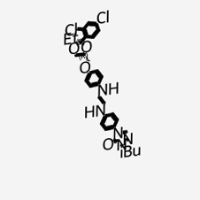 CCC(C)n1ncn(-c2ccc(NCCNc3ccc(OC[C@@H]4CO[C@@](CC)(c5ccc(Cl)cc5Cl)O4)cc3)cc2)c1=O